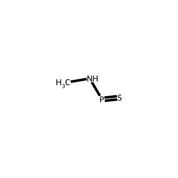 CNP=S